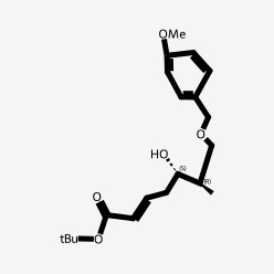 COc1ccc(COC[C@@H](C)[C@@H](O)CC=CC(=O)OC(C)(C)C)cc1